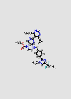 COc1ncnc(C2CC2)c1-c1ncc2c(n1)N(Cc1ccc(-c3nc(C(C)(F)F)cn3C)cc1)CCN2C(=O)OC(C)(C)C